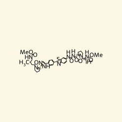 COC(=O)NCC(C)CC(=O)N1CCC[C@H]1c1ncc(-c2ccc(-c3nc4ccc(NC(=O)NC(=O)[C@@H]5CCCN5C(=O)[C@@H](NC(=O)OC)C(C)C)cc4s3)cc2)[nH]1